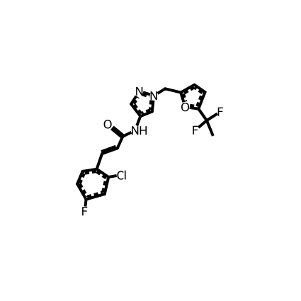 CC(F)(F)c1ccc(Cn2cc(NC(=O)C=Cc3ccc(F)cc3Cl)cn2)o1